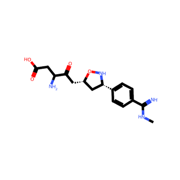 CNC(=N)c1ccc([C@@H]2C[C@H](CC(=O)C(N)CC(=O)O)ON2)cc1